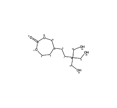 O=C1OCCC(CCC(CO)(CO)CO)CO1